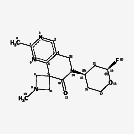 Cc1ncc2c(n1)C1(CN(C)C1)C(=O)N([C@@H]1CCO[C@H](F)C1)C2